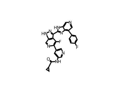 O=C(Nc1cncc(-c2ncc3[nH]nc(-c4nc5c(-c6ccc(F)cc6)cncc5[nH]4)c3c2F)c1)C1CC1